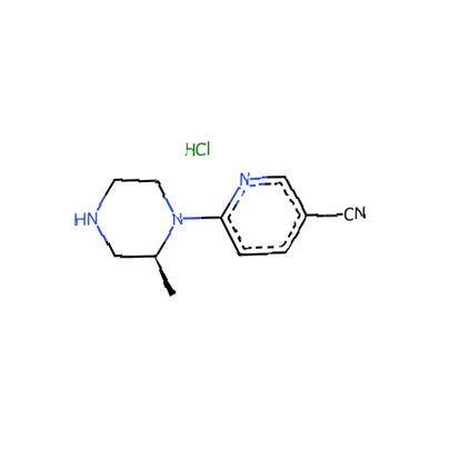 C[C@H]1CNCCN1c1ccc(C#N)cn1.Cl